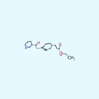 CCOC(=O)C=Cc1ccc(CC(=O)c2cccnc2)cc1